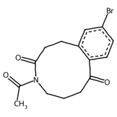 CC(=O)N1CCCC(=O)c2ccc(Br)cc2CCC1=O